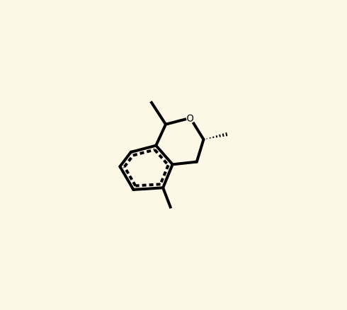 Cc1cccc2c1C[C@@H](C)OC2C